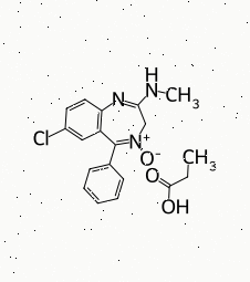 CCC(=O)O.CNC1=Nc2ccc(Cl)cc2C(c2ccccc2)=[N+]([O-])C1